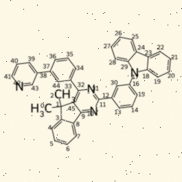 CC1(C)c2ccccc2-c2nc(-c3cccc(-n4c5ccccc5c5ccccc54)c3)nc(-c3cccc(-c4cccnc4)c3)c21